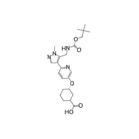 Cn1ncc(-c2ccc(O[C@H]3CCCC(C(=O)O)C3)cn2)c1CNC(=O)OCC(C)(C)C